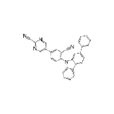 N#Cc1ncc(-c2ccc(-n3c4ccccc4c4ccc(-c5ccccc5)cc43)c(C#N)c2)cn1